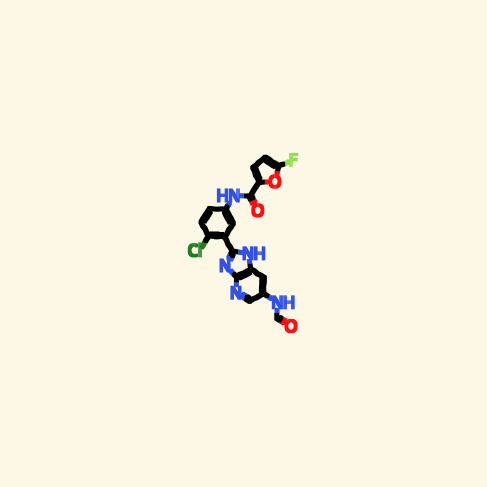 O=CNc1cnc2nc(-c3cc(NC(=O)c4ccc(F)o4)ccc3Cl)[nH]c2c1